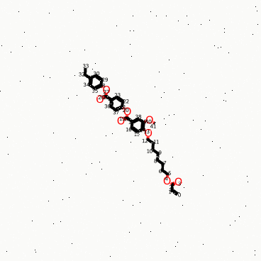 C=CC(=O)OCCCCCCCCOc1ccc(C(=O)Oc2ccc(C(=O)Oc3ccc(CC)cc3)cc2)cc1OC